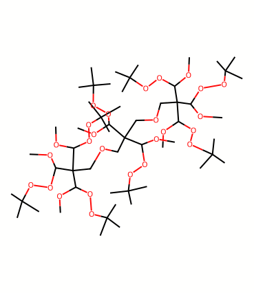 COC(OOC(C)(C)C)C(COCC(C(OC)OOC(C)(C)C)(C(OC)OOC(C)(C)C)C(OC)OOC(C)(C)C)(COCC(C(OC)OOC(C)(C)C)(C(OC)OOC(C)(C)C)C(OC)OOC(C)(C)C)C(OC)OOC(C)(C)C